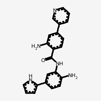 Nc1ccc(-c2ccc[nH]2)cc1NC(=O)c1ccc(-c2cccnc2)cc1N